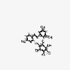 Oc1c(Cl)c(Cl)c(Cl)c(Cl)c1Cl.Oc1ccc(/C=C/c2cc(O)cc(O)c2)cc1